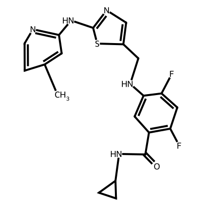 Cc1ccnc(Nc2ncc(CNc3cc(C(=O)NC4CC4)c(F)cc3F)s2)c1